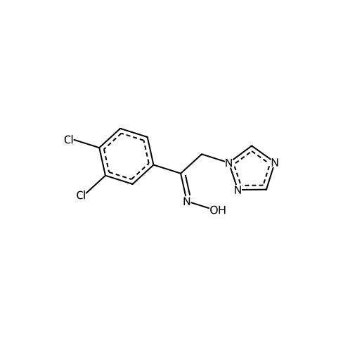 O/N=C(\Cn1cncn1)c1ccc(Cl)c(Cl)c1